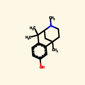 CN1CCC2(C)CC1C(C)(C)c1ccc(O)cc12